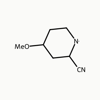 COC1CC[N]C(C#N)C1